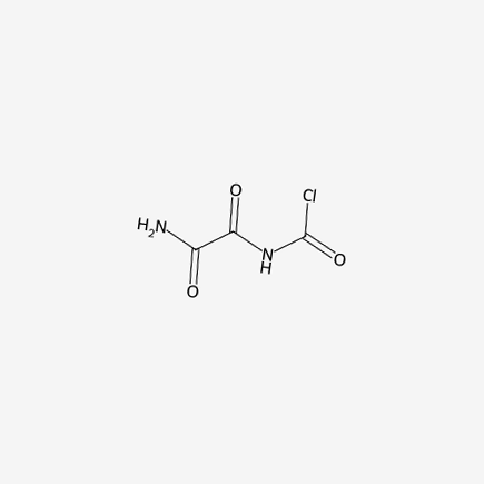 NC(=O)C(=O)NC(=O)Cl